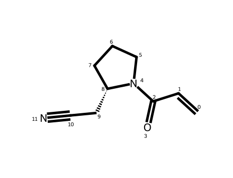 C=CC(=O)N1CCC[C@H]1CC#N